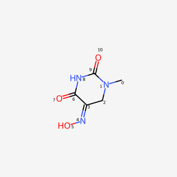 CN1CC(=NO)C(=O)NC1=O